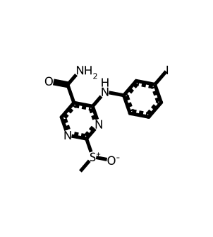 C[S+]([O-])c1ncc(C(N)=O)c(Nc2cccc(I)c2)n1